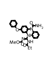 CCC(=O)NC(=NC(=O)OC)Nc1cc(Oc2ccccc2)ccc1N(C(N)=O)c1ccccc1